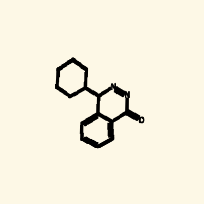 O=C1N=NC(C2CCCCC2)c2ccccc21